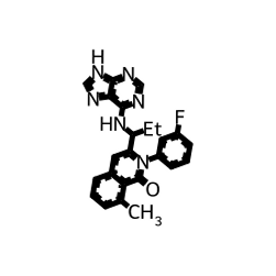 CCC(Nc1ncnc2[nH]cnc12)c1cc2cccc(C)c2c(=O)n1-c1cccc(F)c1